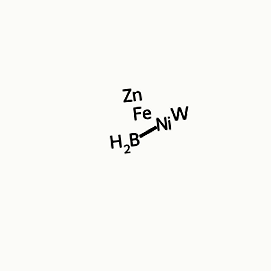 [BH2][Ni].[Fe].[W].[Zn]